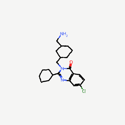 NCC1CCCC(Cn2c(C3CCCCC3)nc3cc(Cl)ccc3c2=O)C1